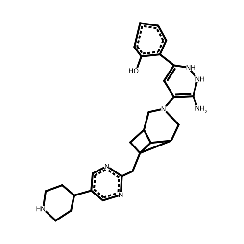 NC1=C(N2CC3CC4(Cc5ncc(C6CCNCC6)cn5)C(C2)C34)C=C(c2ccccc2O)NN1